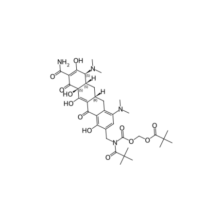 CN(C)c1cc(CN(C(=O)OCOC(=O)C(C)(C)C)C(=O)C(C)(C)C)c(O)c2c1C[C@H]1C[C@H]3[C@H](N(C)C)C(O)=C(C(N)=O)C(=O)[C@@]3(O)C(O)=C1C2=O